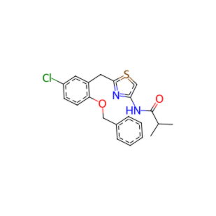 CC(C)C(=O)Nc1csc(Cc2cc(Cl)ccc2OCc2ccccc2)n1